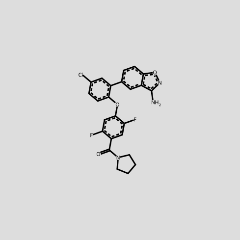 Nc1noc2ccc(-c3cc(Cl)ccc3Oc3cc(F)c(C(=O)N4CCCC4)cc3F)cc12